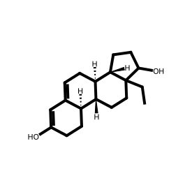 CCC12CC[C@H]3[C@@H](CC=C4C=C(O)CC[C@@H]43)[C@@H]1CCC2O